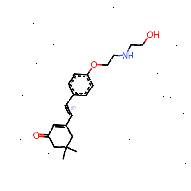 CC1(C)CC(=O)C=C(/C=C/c2ccc(OCCNCCO)cc2)C1